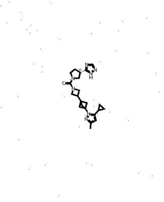 Cc1cc(C2CC2)n(C23CC(C4CN(C(=O)N5CC[C@H](c6ncn[nH]6)C5)C4)(C2)C3)n1